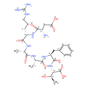 C[C@H](NC(=O)[C@H](C)NC(=O)[C@H](CCCNC(=N)N)NC(=O)[C@@H](N)CC(=O)O)C(=O)N[C@@H](Cc1ccccc1)C(=O)N[C@H](C(=O)O)[C@@H](C)O